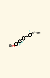 CCCCCC1CCC(CCC2CCC(C3CCC(C4CCC(OCC)CC4)C(F)C3F)CC2)CC1F